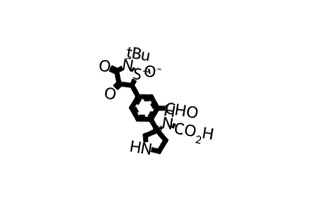 CC(C)(C)N1C(=O)C(=O)C(c2ccc([C@]3(NC(=O)O)CCNC3)c(C=O)c2)[S+]1[O-]